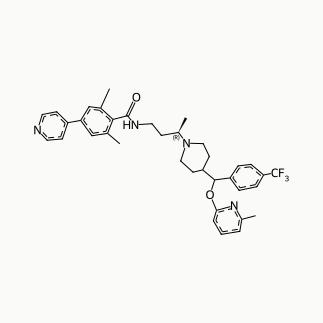 Cc1cccc(OC(c2ccc(C(F)(F)F)cc2)C2CCN([C@H](C)CCNC(=O)c3c(C)cc(-c4ccncc4)cc3C)CC2)n1